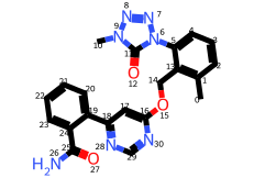 Cc1cccc(-n2nnn(C)c2=O)c1COc1cc(-c2ccccc2C(N)=O)ncn1